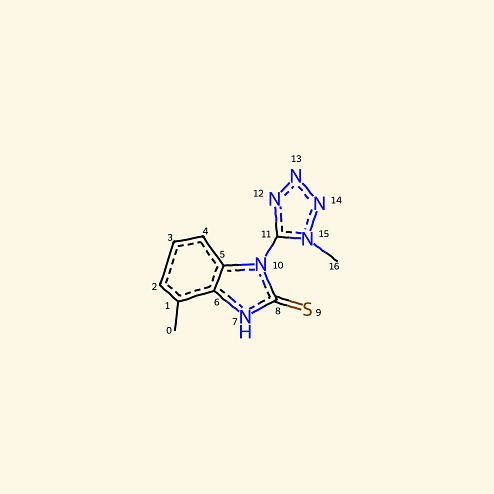 Cc1cccc2c1[nH]c(=S)n2-c1nnnn1C